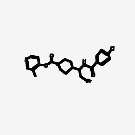 Cc1cnccc1OC(=O)N1CCC(C(CC(C)C)NC(=O)c2ccc(Cl)cc2)CC1